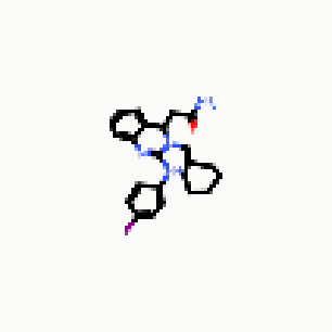 NC(=O)CC1c2ccccc2N=C(Nc2ccc(I)cc2)N1CC1CCCCC1